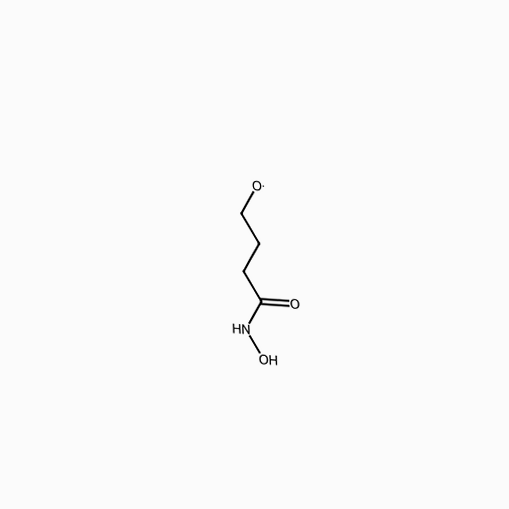 [O]CCCC(=O)NO